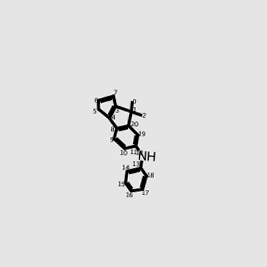 CC1(C)C2=C(CC=C2)c2ccc(Nc3ccccc3)cc21